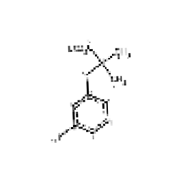 CCOC(=O)C(C)(C)Cc1cccc(I)c1